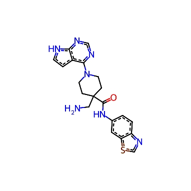 NCC1(C(=O)Nc2ccc3ncsc3c2)CCN(c2ncnc3[nH]ccc23)CC1